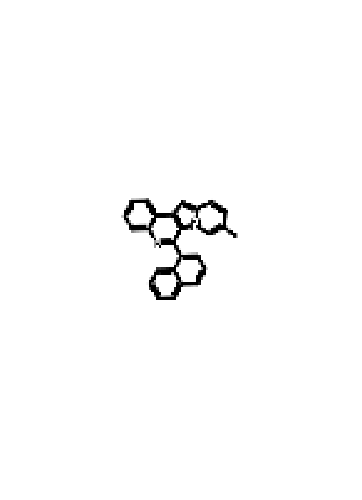 Cc1ccc2cc3c4ccccc4nc(-c4cccc5ccccc45)c3n2c1